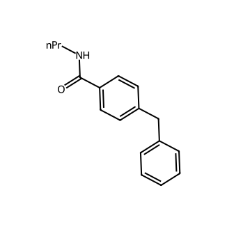 CCCNC(=O)c1ccc(Cc2ccccc2)cc1